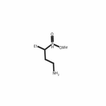 CCC(CCN)[PH](=O)OC